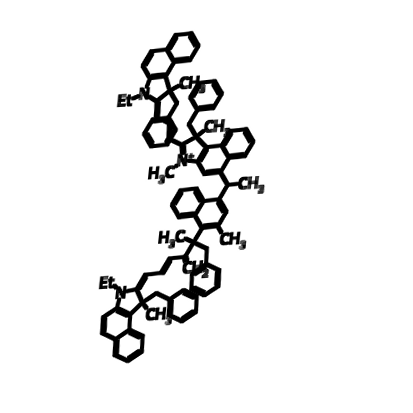 C=C(/C=C/C=C1/N(CC)c2ccc3ccccc3c2C1(C)Cc1ccccc1)C(C)(Cc1ccccc1)c1c(C)cc(C(C)c2cc3c(c4ccccc24)C(C)(Cc2ccccc2)C(/C=C/C=C2/N(CC)c4ccc5ccccc5c4C2(C)Cc2ccccc2)=[N+]3C)c2ccccc12